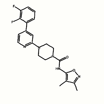 Cc1noc(NC(=O)N2CCN(c3cc(-c4cccc(F)c4F)ccn3)CC2)c1C